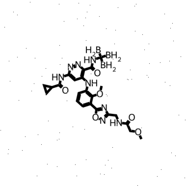 BC(B)(B)NC(=O)c1nnc(NC(=O)C2CC2)cc1Nc1cccc(-c2nc(CNC(=O)COC)no2)c1OC